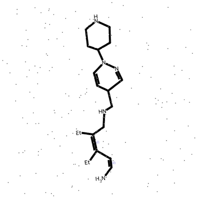 CCC(/C=C\N)=C(\CC)CNCC1C=CN(C2CCNCC2)N=C1